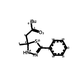 CCC(C)C(=O)CC1(C)NN=C(c2ccccc2)S1